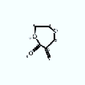 C=C1CSCCOC1=O